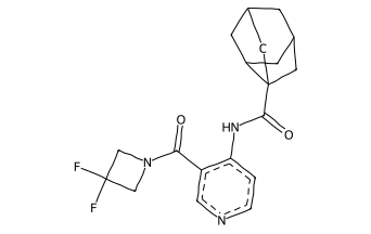 O=C(c1cnccc1NC(=O)C12CC3CC(CC1C3)C2)N1CC(F)(F)C1